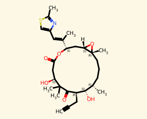 C#CC[C@H]1C(=O)C(C)(C)[C@@H](O)CC(=O)O[C@H](C(C)=Cc2csc(C)n2)C[C@@H]2O[C@]2(C)CCC[C@H](C)[C@@H]1O